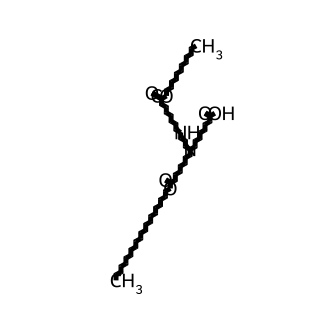 CCCCCCCCCCCCCCCCCCCCCCOC(=O)CCCCCCCN(CCCCCCCC(=O)O)CCCNCCCCCCCC(=C=O)OCCCCCCCCCCCC